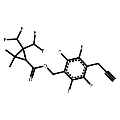 C#CCc1c(F)c(F)c(COC(=O)C2C(C)(C)C2(C(F)F)C(F)F)c(F)c1F